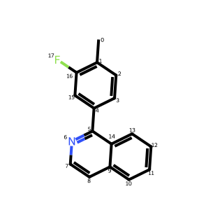 Cc1ccc(-c2nccc3ccccc23)cc1F